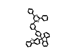 c1ccc(-c2cc(-c3cccc(-c4ccc(C5(c6ccc7c(c6)sc6ccccc67)c6ccccc6-c6ccccc65)cc4)c3)nc(-c3ccccc3)n2)cc1